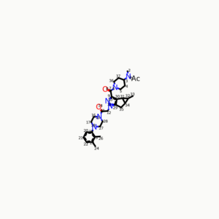 CC(=O)N(C)C1CCN(C(=O)c2nn(CC(=O)N3CCN(c4cccc(C)c4C)CC3)c3c2C2C(C)C2C3)CC1